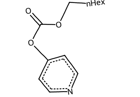 CCCCCCCOC(=O)Oc1ccncc1